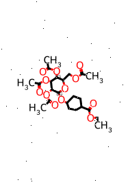 CCOC(=O)C1CCC(O[C@@H]2OC(COC(C)=O)[C@H](OC(C)=O)C(OC(C)=O)C2OC(C)=O)CC1